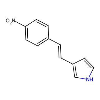 O=[N+]([O-])c1ccc(C=Cc2cc[nH]c2)cc1